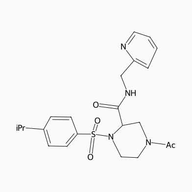 CC(=O)N1CCN(S(=O)(=O)c2ccc(C(C)C)cc2)C(C(=O)NCc2ccccn2)C1